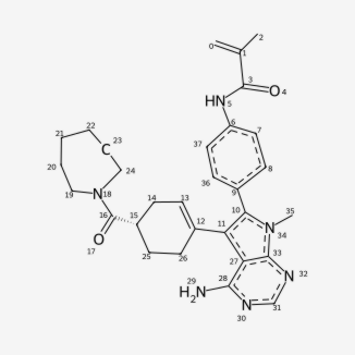 C=C(C)C(=O)Nc1ccc(-c2c(C3=CC[C@@H](C(=O)N4CCCCCC4)CC3)c3c(N)ncnc3n2C)cc1